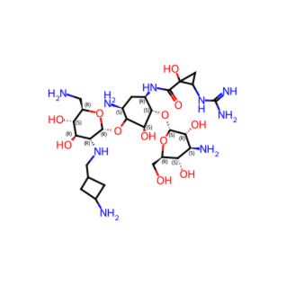 N=C(N)NC1CC1(O)C(=O)N[C@@H]1C[C@H](N)C(O[C@H]2O[C@H](CN)[C@@H](O)[C@H](O)[C@H]2NCC2CC(N)C2)[C@H](O)[C@H]1O[C@H]1O[C@H](CO)[C@@H](O)[C@H](N)[C@H]1O